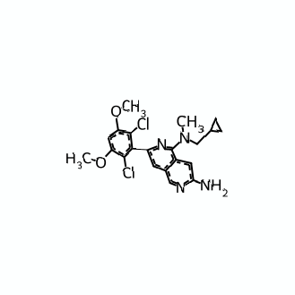 COc1cc(OC)c(Cl)c(-c2cc3cnc(N)cc3c(N(C)CC3CC3)n2)c1Cl